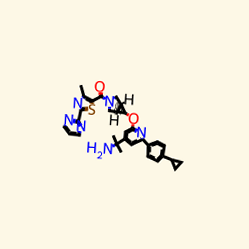 Cc1nc(-c2ncccn2)sc1C(=O)N1C[C@@H]2C(Oc3cc(C(C)(C)N)cc(-c4ccc(C5CC5)cc4)n3)[C@@H]2C1